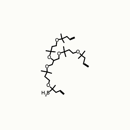 BC(C)(CC=C)OCCC(C)(C)OCC(COC(C)(C)CCOC(C)(C)CC=C)OC(C)(C)CCOC(C)(C)CC=C